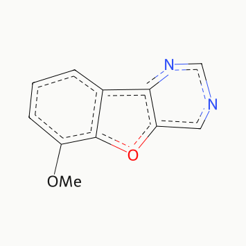 COc1cccc2c1oc1cncnc12